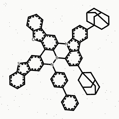 c1ccc(-c2ccc(N3B4c5c(cc6c(oc7ccccc76)c5-c5cc6sc7ccccc7c6cc53)-n3c5ccc(C67CC8CC(CC(C8)C6)C7)cc5c5cc(C67CC8CC(CC(C8)C6)C7)cc4c53)cc2)cc1